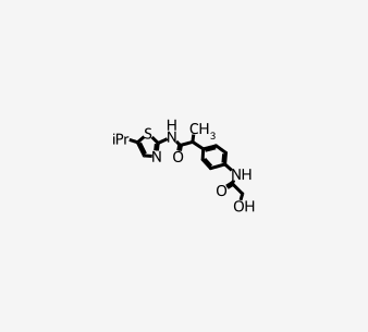 CC(C)c1cnc(NC(=O)C(C)c2ccc(NC(=O)CO)cc2)s1